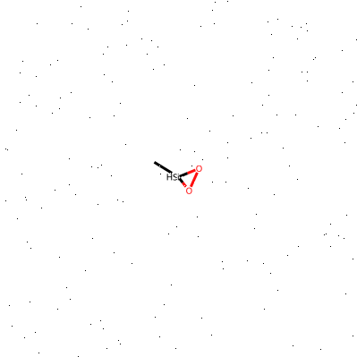 C[SiH]1OO1